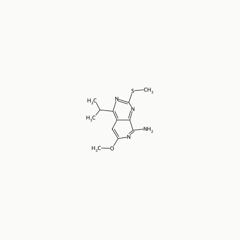 COc1cc2c(C(C)C)nc(SC)nc2c(N)n1